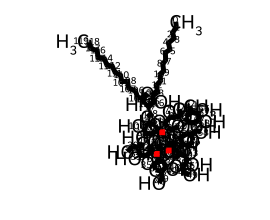 CCCCCCCCCCCCC/C=C/[C@@H](O)[C@H](CO[C@@H]1OC(CO)[C@@H](O[C@@H]2OC(CO)[C@H](O)[C@H](O[C@@H]3OC(CO)[C@@H](O)[C@H](O[C@@H]4OC(CO)[C@H](O)[C@H](O[C@@H]5OC(CO)[C@@H](O[C@H]6OC(C)[C@@H](O)C(O)[C@@H]6O)[C@H](O[C@@H]6OC(CO)[C@H](O)[C@H](O)C6O)C5NC(C)=O)C4O)C3NC(C)=O)C2O)[C@H](O)C1O)NC(=O)CCCCCCCCCCCCCCC